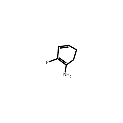 NC1=C(F)C=CC[CH]1